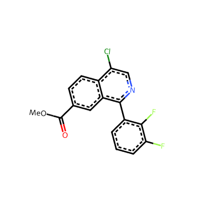 COC(=O)c1ccc2c(Cl)cnc(-c3cccc(F)c3F)c2c1